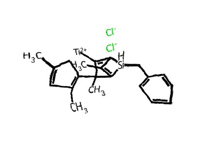 CC1=CC(C)=C(C2(C)[C]([Ti+2])=C3C(C)=C2[SiH]3Cc2ccccc2)C1.[Cl-].[Cl-]